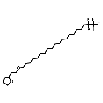 FC(F)(F)C(F)(F)CCCCCCCCCCCCCCCCCCOCCC1CCCO1